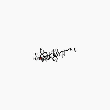 CO[C@@H]1C[C@]23COC[C@@](C)([C@@H]2CC[C@H]2C3=CC[C@@]3(C)[C@H](C(=O)O)[C@@](C)([C@H](C)C(C)C)CC[C@]23C)[C@H]1OCCNCCCN